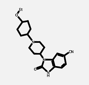 CCOC1CCC(N2CCC(n3c(=O)[nH]c4ccc(C#N)cc43)CC2)CC1